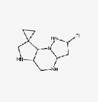 ClC1CC2NCC3NCC4(CC4)C3N2N1